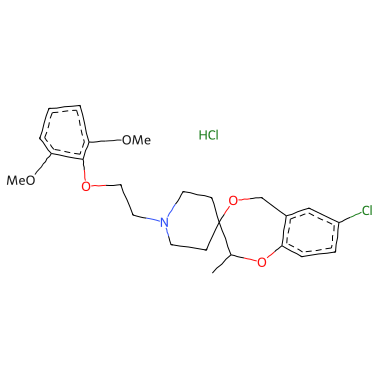 COc1cccc(OC)c1OCCN1CCC2(CC1)OCc1cc(Cl)ccc1OC2C.Cl